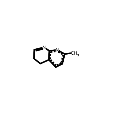 Cc1ccc2c(n1)N=CCC2